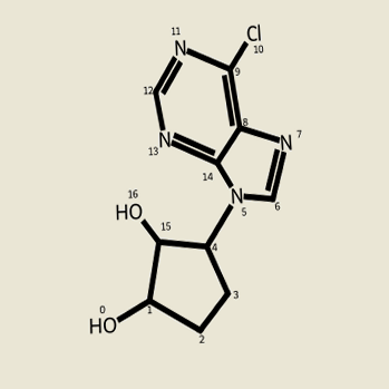 OC1CCC(n2cnc3c(Cl)ncnc32)C1O